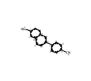 CC(C)(C)c1ccc2cc(-c3ccc(C#N)cc3)ccc2c1